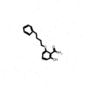 NC(=O)c1c(O)cccc1OCCCCc1ccccc1